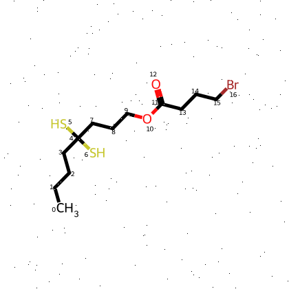 CCCCC(S)(S)CCCOC(=O)CCCBr